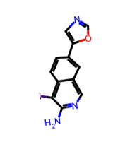 Nc1ncc2cc(-c3cnco3)ccc2c1I